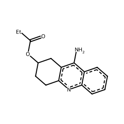 CCC(=O)OC1CCc2nc3ccccc3c(N)c2C1